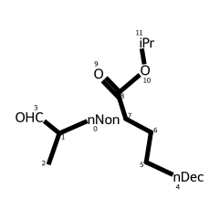 CCCCCCCCCC(C)C=O.CCCCCCCCCCCCCC(=O)OC(C)C